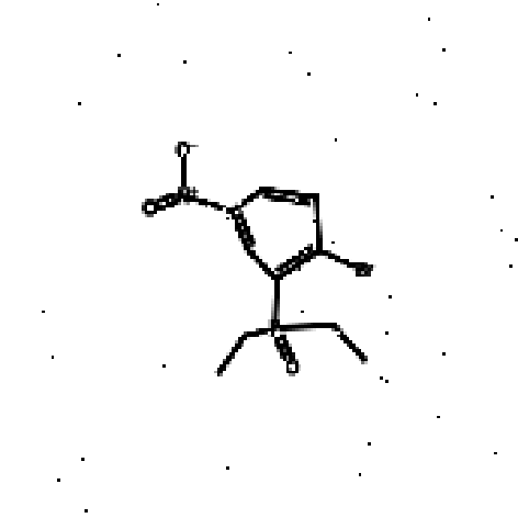 CCP(=O)(CC)c1cc([N+](=O)[O-])ccc1Br